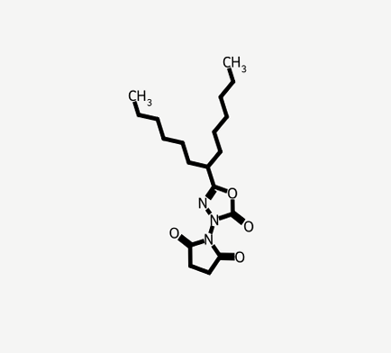 CCCCCCC(CCCCCC)c1nn(N2C(=O)CCC2=O)c(=O)o1